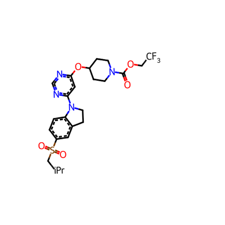 CC(C)CS(=O)(=O)c1ccc2c(c1)CCN2c1cc(OC2CCN(C(=O)OCC(F)(F)F)CC2)ncn1